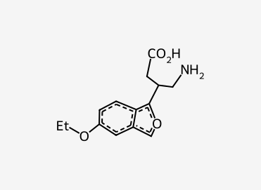 CCOc1ccc2c(C(CN)CC(=O)O)occ2c1